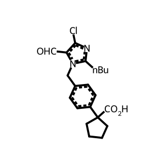 CCCCc1nc(Cl)c(C=O)n1Cc1ccc(C2(C(=O)O)CCCC2)cc1